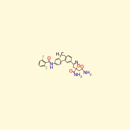 Cc1ccc(C2=NOC(CC(N)=O)(C(N)=O)C2)cc1-c1ccc(NC(=O)c2c(F)cccc2F)cc1